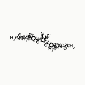 [C-]#[N+]c1c(OC(=O)c2ccc([Si](C)(C)CCCOC(=O)C=C)cc2)ccc(OC(=O)c2ccc([Si](C)(C)CCCOC(=O)C=C)cc2)c1C#N